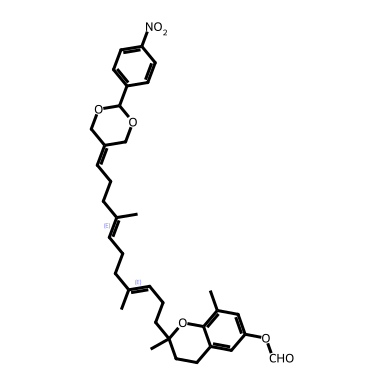 C/C(=C\CC/C(C)=C/CCC1(C)CCc2cc(OC=O)cc(C)c2O1)CCC=C1COC(c2ccc([N+](=O)[O-])cc2)OC1